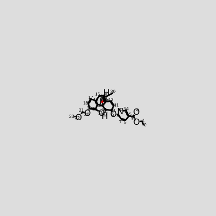 CCOC(=O)c1ccc(O[C@H]2C=C[C@H]3[C@H]4Cc5ccc(OCOC)c6c5[C@@]3(CCN4C)[C@H]2O6)nc1